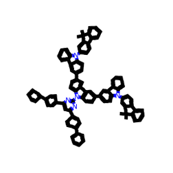 CC1(C)c2ccccc2-c2ccc(-n3c4ccccc4c4cc(-c5ccc6c(c5)c5cc(-c7ccc8c(c7)c7ccccc7n8-c7ccc8c(c7)C(C)(C)c7ccccc7-8)ccc5n6-c5nc(-c6ccc(-c7ccccc7)cc6)cc(-c6ccc(-c7ccccc7)cc6)n5)ccc43)cc21